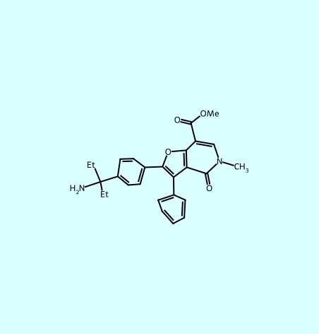 CCC(N)(CC)c1ccc(-c2oc3c(C(=O)OC)cn(C)c(=O)c3c2-c2ccccc2)cc1